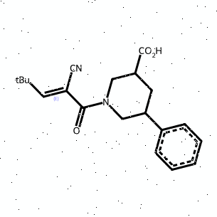 CC(C)(C)/C=C(\C#N)C(=O)N1CC(C(=O)O)CC(c2ccccc2)C1